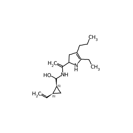 C=C[C@@H]1C[C@@H]1C(O)NC(=C)C1CC(CCC)=C(CC)N1